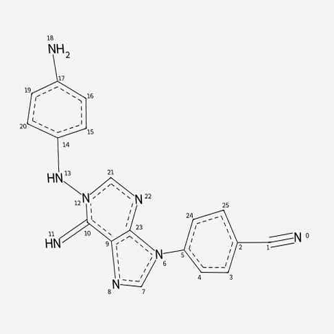 N#Cc1ccc(-n2cnc3c(=N)n(Nc4ccc(N)cc4)cnc32)cc1